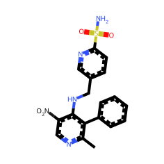 Cc1ncc([N+](=O)[O-])c(NCc2ccc(S(N)(=O)=O)nc2)c1-c1ccccc1